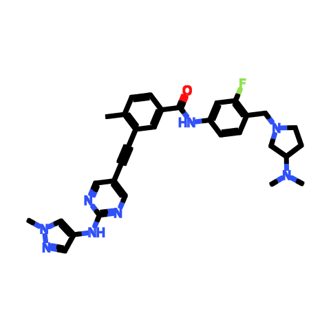 Cc1ccc(C(=O)Nc2ccc(CN3CCC(N(C)C)C3)c(F)c2)cc1C#Cc1cnc(Nc2cnn(C)c2)nc1